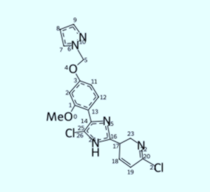 COc1cc(OCn2cccn2)ccc1-c1nc(C2C=CC(Cl)=NC2)[nH]c1Cl